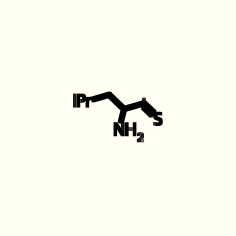 CC(C)CC(N)[C]=S